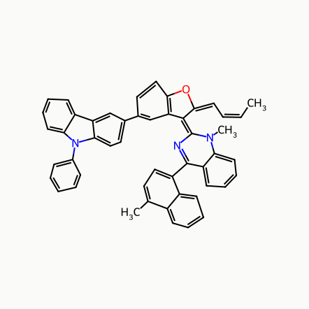 C\C=C/C=c1/oc2ccc(-c3ccc4c(c3)c3ccccc3n4-c3ccccc3)cc2/c1=C1\N=C(c2ccc(C)c3ccccc23)c2ccccc2N1C